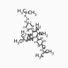 CC(C)CCCc1ccc(-c2c(N)c(N)c(-c3ccc(OCC(C)C)cc3)c3nn(CC(C)C)nc23)cc1